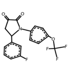 O=C1CC(c2cccc(F)c2)N(c2ccc(OC(F)(F)F)cc2)C1=O